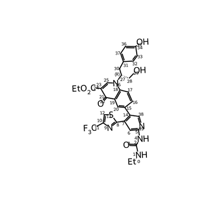 CCNC(=O)Nc1cc(-c2nc(C(F)(F)F)cs2)c(-c2ccc3c(c2)c(=O)c(C(=O)OCC)cn3[C@@H](CO)Cc2ccc(O)cc2)cn1